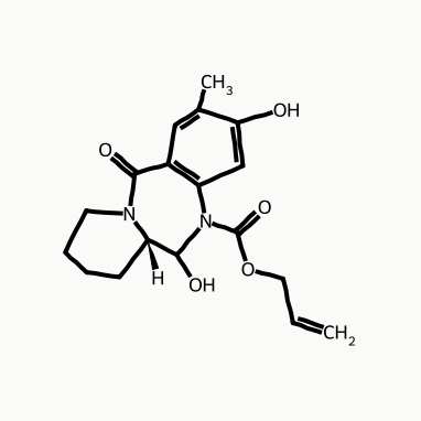 C=CCOC(=O)N1c2cc(O)c(C)cc2C(=O)N2CCCC[C@H]2C1O